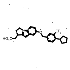 O=C(O)CC1CCn2c1cc1cc(OCc3ccc(C4CCCC4)c(C(F)(F)F)c3)ccc12